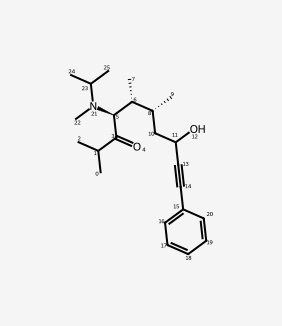 CC(C)C(=O)[C@H]([C@H](C)[C@H](C)CC(O)C#Cc1ccccc1)N(C)C(C)C